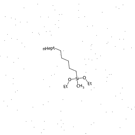 CCCCCCCCCCCC[Si](C)(OCC)OCC